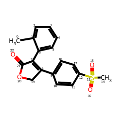 Cc1ccccc1C1=C(c2ccc(S(C)(=O)=O)cc2)COC1=O